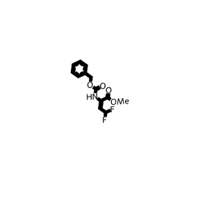 COC(=O)C(=CC(F)F)NC(=O)OCc1ccccc1